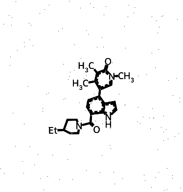 CCC1CCN(C(=O)c2ccc(-c3cn(C)c(=O)c(C)c3C)c3cc[nH]c23)CC1